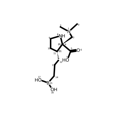 CN(C)C[C@]1(C(=O)O)NCC[C@H]1CCCB(O)O